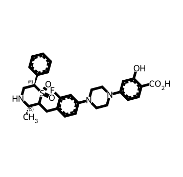 C[C@@H]1NC[C@@H](c2ccccc2)S(=O)(=O)C1Cc1ccc(N2CCN(c3ccc(C(=O)O)c(O)c3)CC2)cc1F